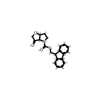 O=C1COC2CCN(C(=O)OCC3c4ccccc4-c4ccccc43)C12